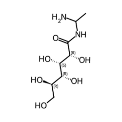 CC(N)NC(=O)[C@H](O)[C@@H](O)[C@H](O)[C@H](O)CO